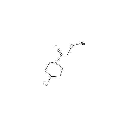 CC(C)(C)OCC(=O)N1CCC(S)CC1